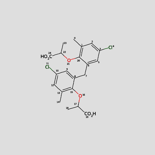 Cc1cc(Cl)cc(Cc2cc(Cl)cc(C)c2OC(C)C(=O)O)c1OC(C)C(=O)O